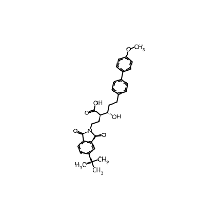 COc1ccc(-c2ccc(CC[C@H](O)[C@@H](CCN3C(=O)c4ccc(C(C)(C)C)cc4C3=O)C(=O)O)cc2)cc1